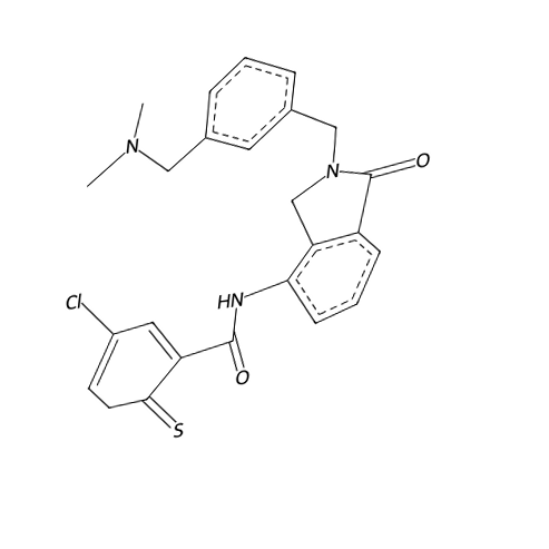 CN(C)Cc1cccc(CN2Cc3c(NC(=O)C4=CC(Cl)=CCC4=S)cccc3C2=O)c1